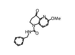 COc1ccc2c(n1)C(=O)CCN2C(=O)NCc1ccccc1